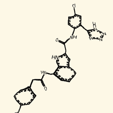 O=C(Cc1ccc(Cl)cc1)Nc1cccc2cc(C(=O)Nc3ccc(Cl)cc3-c3nnn[nH]3)[nH]c12